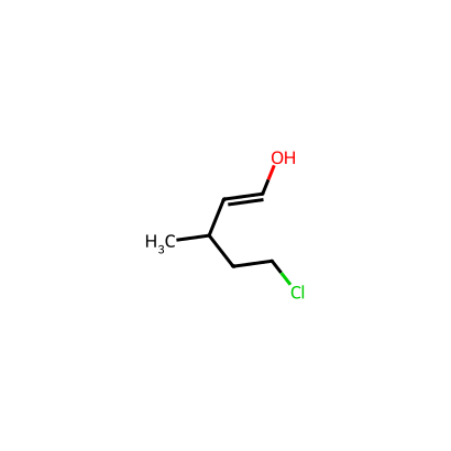 CC(C=CO)CCCl